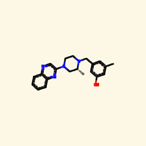 Cc1cc(O)cc(CN2CCN(c3cnc4ccccc4n3)C[C@H]2C)c1